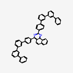 c1ccc(-c2cccc(-c3cccc(-c4ccc(-c5nc(-c6ccc(-c7cccc(-c8cccc(-c9ccccc9)c8)c7)cc6)c6ccc7ccccc7c6n5)cc4)c3)c2)cc1